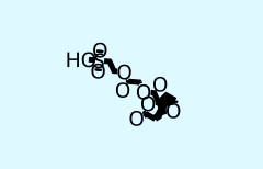 O=C(COC(=O)C12Cc3cc(c1o3)C(=O)O2)OCCS(=O)(=O)O